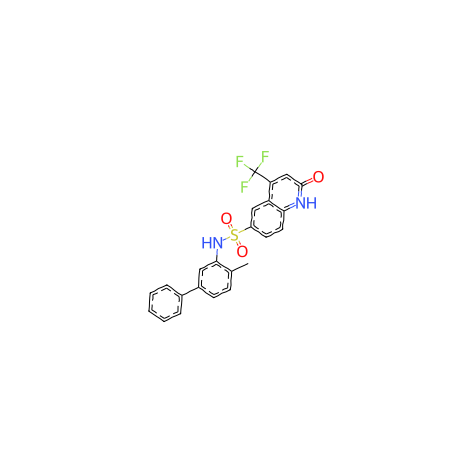 Cc1ccc(-c2ccccc2)cc1NS(=O)(=O)c1ccc2[nH]c(=O)cc(C(F)(F)F)c2c1